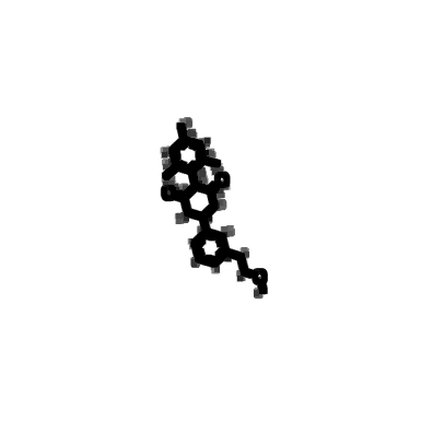 COCCc1cccc(C2CC(=O)C(c3c(C)cc(C)cc3C)C(=O)C2)c1